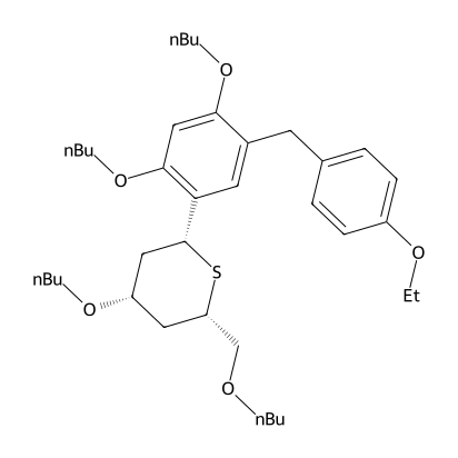 CCCCOC[C@@H]1C[C@H](OCCCC)C[C@H](c2cc(Cc3ccc(OCC)cc3)c(OCCCC)cc2OCCCC)S1